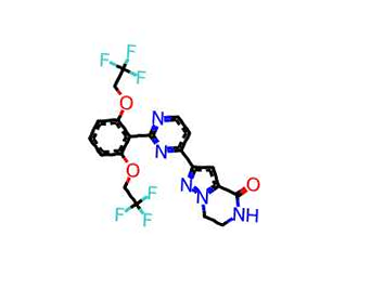 O=C1NCCn2nc(-c3ccnc(-c4c(OCC(F)(F)F)cccc4OCC(F)(F)F)n3)cc21